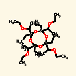 CCOC(C)[Si]1(CC)O[Si](CC)(C(C)OCC)O[Si](CC)(C(C)OCC)O[Si](CC)(C(C)OCC)O1